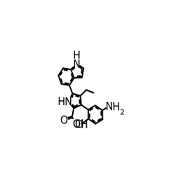 CCc1c(-c2cccc3[nH]ccc23)[nH]c(C(=O)O)c1-c1cc(N)ccc1Cl